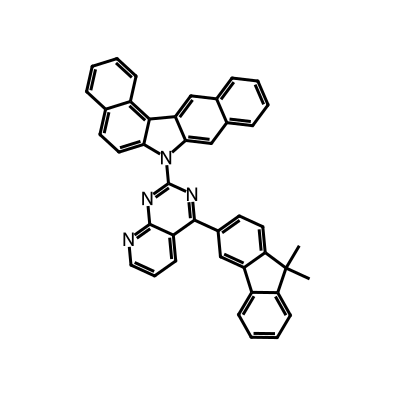 CC1(C)c2ccccc2-c2cc(-c3nc(-n4c5cc6ccccc6cc5c5c6ccccc6ccc54)nc4ncccc34)ccc21